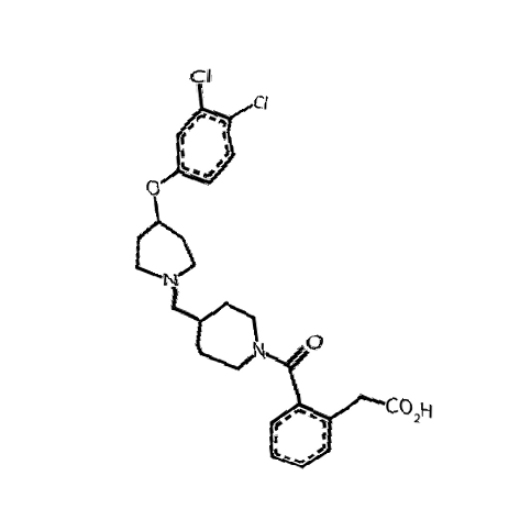 O=C(O)Cc1ccccc1C(=O)N1CCC(CN2CCC(Oc3ccc(Cl)c(Cl)c3)CC2)CC1